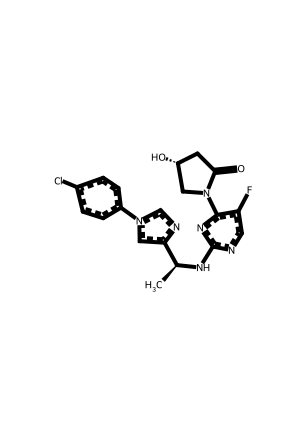 C[C@H](Nc1ncc(F)c(N2C[C@H](O)CC2=O)n1)c1cn(-c2ccc(Cl)cc2)cn1